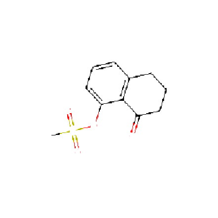 CS(=O)(=O)Oc1cccc2c1C(=O)CCC2